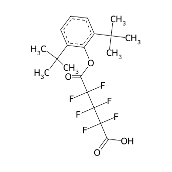 CC(C)(C)c1cccc(C(C)(C)C)c1OC(=O)C(F)(F)C(F)(F)C(F)(F)C(=O)O